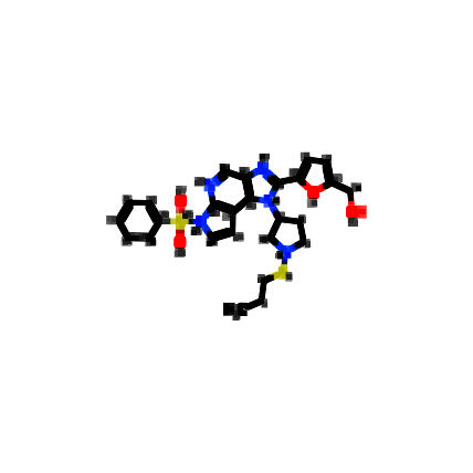 CCCSN1CCC(n2c(-c3ccc(CO)o3)nc3cnc4c(ccn4S(=O)(=O)c4ccccc4)c32)C1